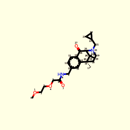 COCCOCC(=O)NCc1ccc2c(c1)[C@]1(C)CCN(CC3CC3)C(C2=O)[C@@H]1C